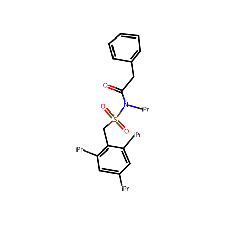 CC(C)c1cc(C(C)C)c(CS(=O)(=O)N(C(=O)Cc2ccccc2)C(C)C)c(C(C)C)c1